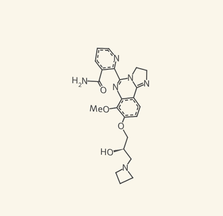 COc1c(OC[C@H](O)CN2CCC2)ccc2c1N=C(c1ncccc1C(N)=O)N1CCN=C21